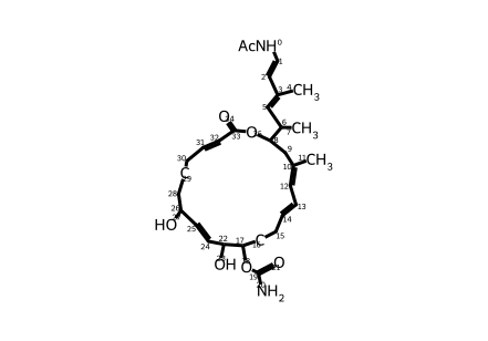 CC(=O)N/C=C/C(C)=C/C(C)C1C/C(C)=C/C=C/CCC(OC(N)=O)C(O)/C=C/C(O)CCC/C=C/C(=O)O1